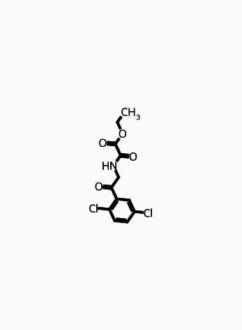 CCOC(=O)C(=O)NCC(=O)c1cc(Cl)ccc1Cl